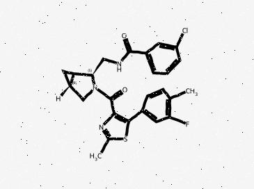 Cc1nc(C(=O)N2C[C@@H]3CC3[C@H]2CNC(=O)c2cccc(Cl)c2)c(-c2ccc(C)c(F)c2)s1